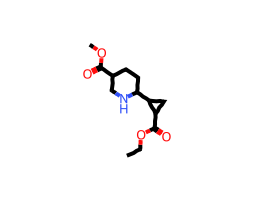 CCOC(=O)C1CC1C1CCC(C(=O)OC)CN1